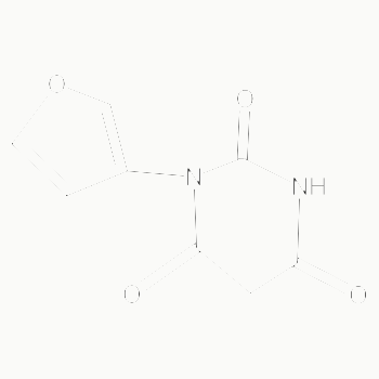 O=C1CC(=O)N(c2ccoc2)C(=O)N1